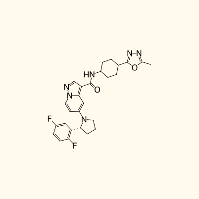 Cc1nnc(C2CCC(NC(=O)c3cnn4ccc(N5CCC[C@@H]5c5cc(F)ccc5F)cc34)CC2)o1